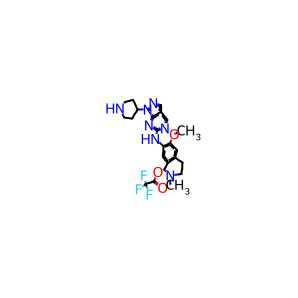 COc1cc2c(cc1Nc1ncc3cnn(C4CCNCC4)c3n1)C(OC(=O)C(F)(F)F)N(C)CC2